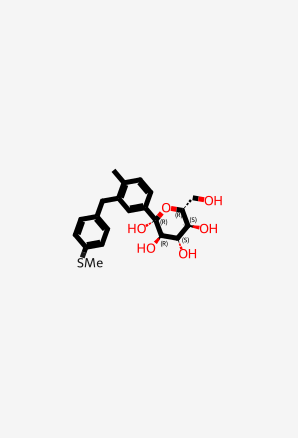 CSc1ccc(Cc2cc([C@@]3(O)O[C@H](CO)[C@@H](O)[C@H](O)[C@H]3O)ccc2C)cc1